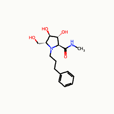 CNC(=O)[C@@H]1[C@@H](O)[C@H](O)[C@@H](CO)N1CCCc1ccccc1